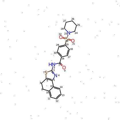 O=C(Nc1nc2c(s1)CCc1ccccc1-2)c1ccc(S(=O)(=O)N2CCCCC2)cc1